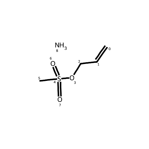 C=CCOS(C)(=O)=O.N